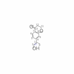 C/C(=C\O)c1ccc2c(c1)OCCC2=O